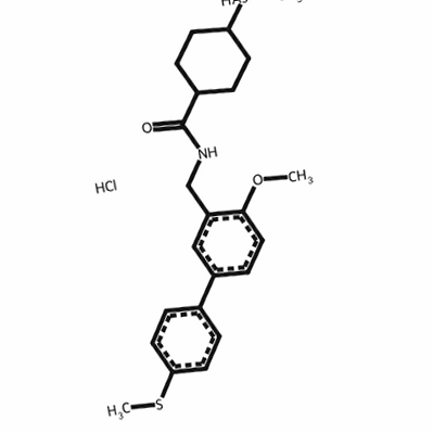 COc1ccc(-c2ccc(SC)cc2)cc1CNC(=O)C1CCC([AsH]C)CC1.Cl